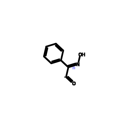 O=[C]/C(=N/O)c1ccccc1